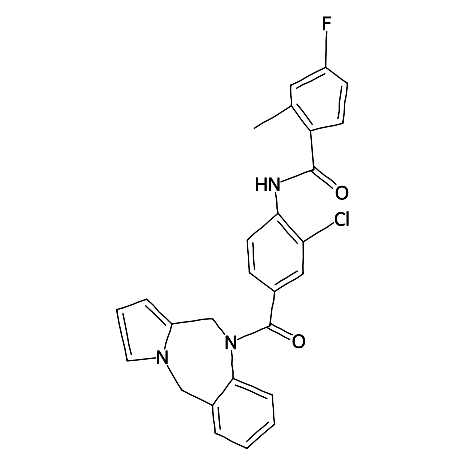 Cc1cc(F)ccc1C(=O)Nc1ccc(C(=O)N2Cc3cccn3Cc3ccccc32)cc1Cl